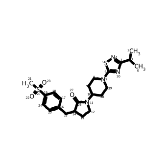 CC(C)c1nsc(N2CCC(N3CCC(Cc4ccc(S(C)(=O)=O)cc4)C3=O)CC2)n1